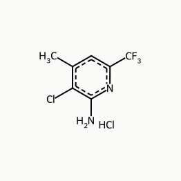 Cc1cc(C(F)(F)F)nc(N)c1Cl.Cl